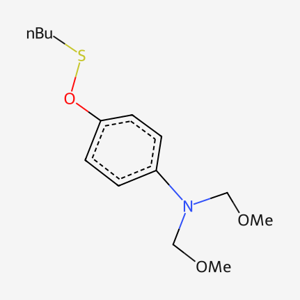 CCCCSOc1ccc(N(COC)COC)cc1